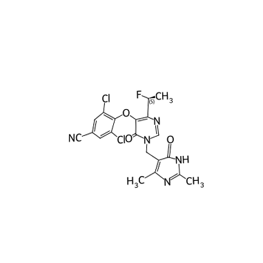 Cc1nc(C)c(Cn2cnc([C@H](C)F)c(Oc3c(Cl)cc(C#N)cc3Cl)c2=O)c(=O)[nH]1